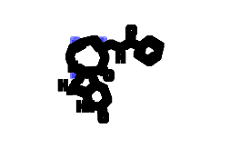 C/C1=N/C/C=C\C=C(\CNC(=O)c2ccccc2)CC(=O)N1C1CCC(=O)NC1=O